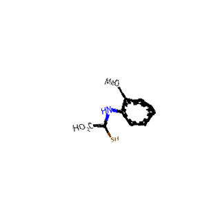 COc1ccccc1NC(S)C(=O)O